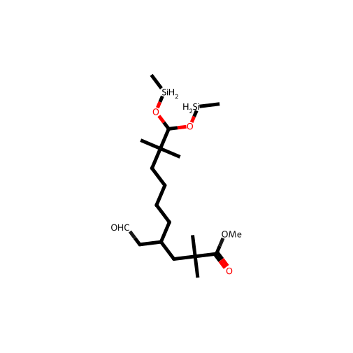 COC(=O)C(C)(C)CC(CC=O)CCCCC(C)(C)C(O[SiH2]C)O[SiH2]C